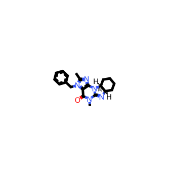 Cc1nc2c(n1Cc1ccccc1)C(=O)N(C)C1=N[C@@H]3CCCC[C@@H]3N12